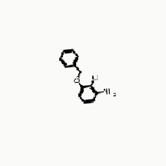 Nc1cccc(OCc2ccccc2)c1Cl